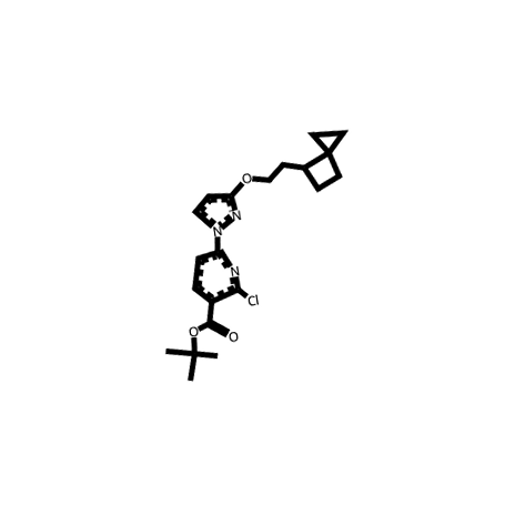 CC(C)(C)OC(=O)c1ccc(-n2ccc(OCCC3CCC34CC4)n2)nc1Cl